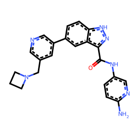 Nc1ccc(NC(=O)c2n[nH]c3ccc(-c4cncc(CN5CCC5)c4)cc23)cn1